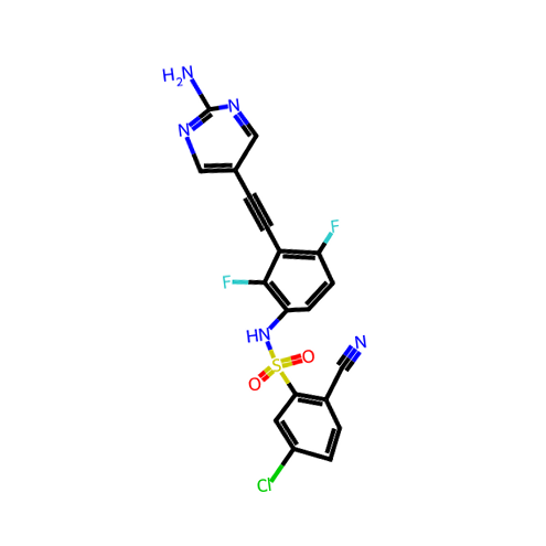 N#Cc1ccc(Cl)cc1S(=O)(=O)Nc1ccc(F)c(C#Cc2cnc(N)nc2)c1F